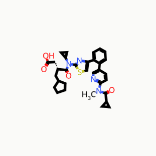 CN(C(=O)C1CC1)c1ccc(-c2ccccc2-c2csc(N(C(=O)[C@@H](CC(=O)O)CC3CCCC3)C3CC3)n2)cn1